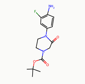 CC(C)(C)OC(=O)N1CCN(c2ccc(N)c(F)c2)C(=O)C1